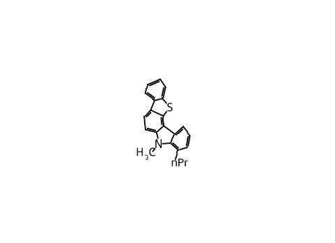 CCCc1cccc2c3c4sc5ccccc5c4ccc3n(C)c12